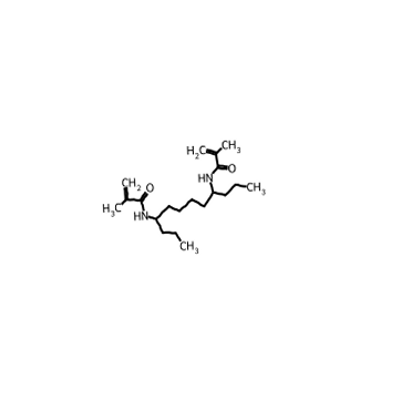 C=C(C)C(=O)NC(CCC)CCCCC(CCC)NC(=O)C(=C)C